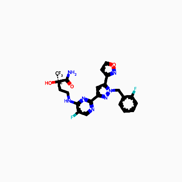 NC(=O)[C@](O)(CCNc1nc(-c2cc(-c3ccon3)n(Cc3ccccc3F)n2)ncc1F)C(F)(F)F